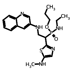 CCCOP(=O)(NCC)C(CNc1cnc2ccccc2c1)c1ncc(NC)s1